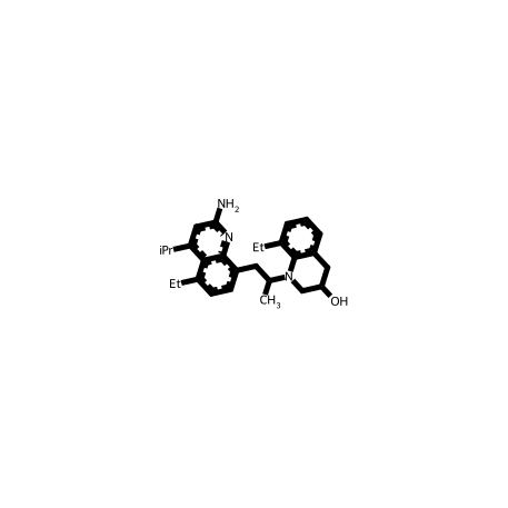 CCc1cccc2c1N(C(C)Cc1ccc(CC)c3c(C(C)C)cc(N)nc13)CC(O)C2